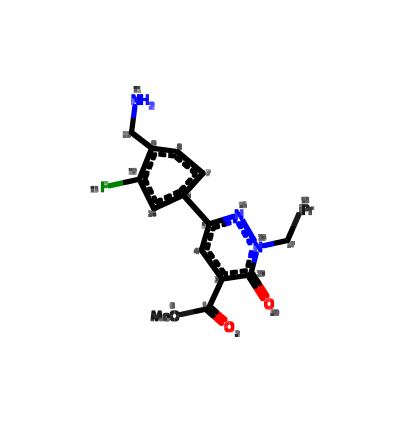 COC(=O)c1cc(-c2ccc(CN)c(F)c2)nn(CC(C)C)c1=O